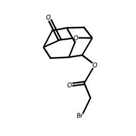 O=C(CBr)OC1C2CC3CC(C2)C(=O)OC1C3